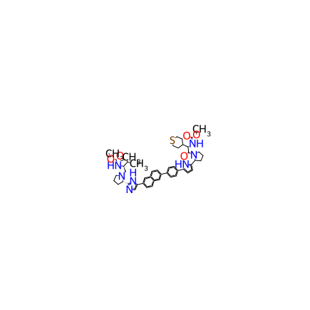 COC(=O)N[C@H](C(=O)N1CCCC1c1ccc(-c2ccc(-c3ccc4cc(-c5cnc([C@@H]6CCCN6C[C@@H](NC(=O)OC)C(C)C)[nH]5)ccc4c3)cc2)[nH]1)C1CCSCC1